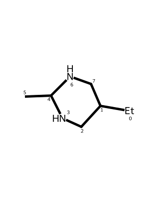 CCC1CNC(C)NC1